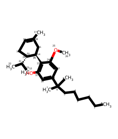 CCCCCCC(C)(C)c1cc(O)c([C@@H]2CC(C)=CC[C@H]2C(C)C)c(OC)c1